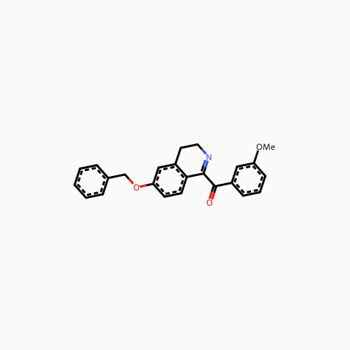 COc1cccc(C(=O)C2=NCCc3cc(OCc4ccccc4)ccc32)c1